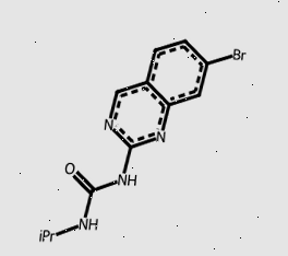 CC(C)NC(=O)Nc1ncc2ccc(Br)cc2n1